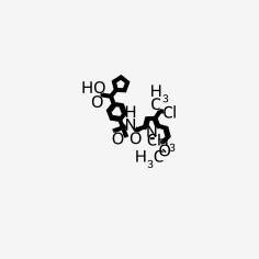 COC/C=C\c1c(C(C)Cl)cc(C(=O)NC2(c3ccc(C(C(=O)O)C4CCCC4)cc3)COC2)n1C